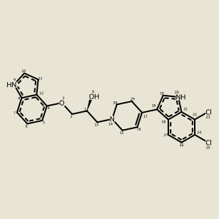 O[C@H](COc1cccc2[nH]ccc12)CN1CC=C(c2c[nH]c3c(Cl)c(Cl)ccc23)CC1